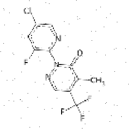 Cc1c(C(F)(F)F)cnn(-c2ncc(Cl)cc2F)c1=O